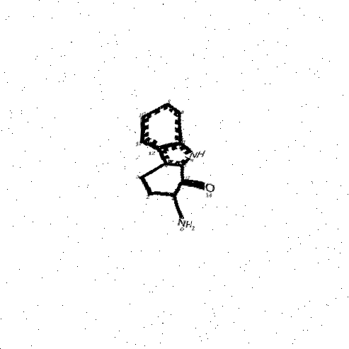 NC1CCc2c([nH]c3ccccc23)C1=O